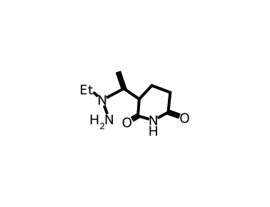 C=C(C1CCC(=O)NC1=O)N(N)CC